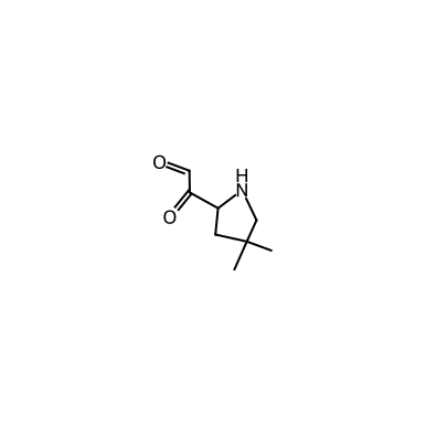 CC1(C)CNC(C(=O)C=O)C1